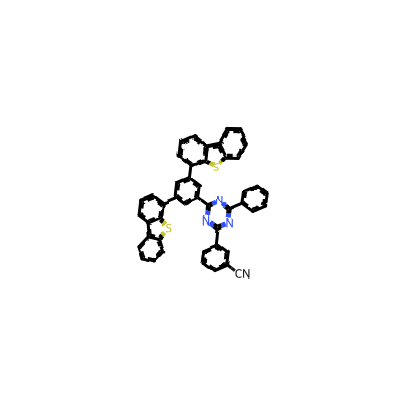 N#Cc1cccc(-c2nc(-c3ccccc3)nc(-c3cc(-c4cccc5c4sc4ccccc45)cc(-c4cccc5c4sc4ccccc45)c3)n2)c1